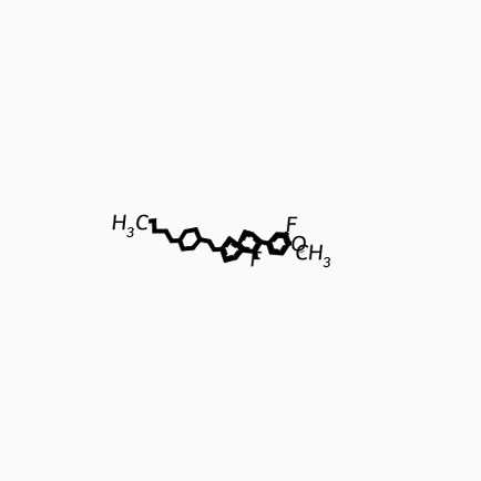 CCCCCC1CCC(CCc2ccc3c(F)c(-c4ccc(OC)c(F)c4)ccc3c2)CC1